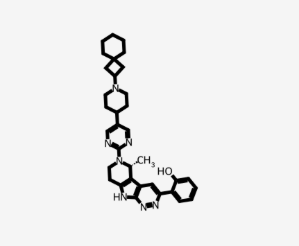 C[C@@H]1c2c([nH]c3nnc(-c4ccccc4O)cc23)CCN1c1ncc(C2CCN(C3CC4(CCCCC4)C3)CC2)cn1